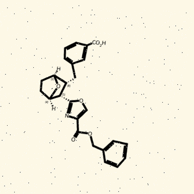 O=C(O)c1cccc(C[C@@H]2[C@H](c3nc(C(=O)OCc4ccccc4)co3)[C@H]3CC[C@@H]2O3)c1